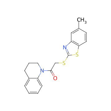 Cc1ccc2sc(SCC(=O)N3CCCc4ccccc43)nc2c1